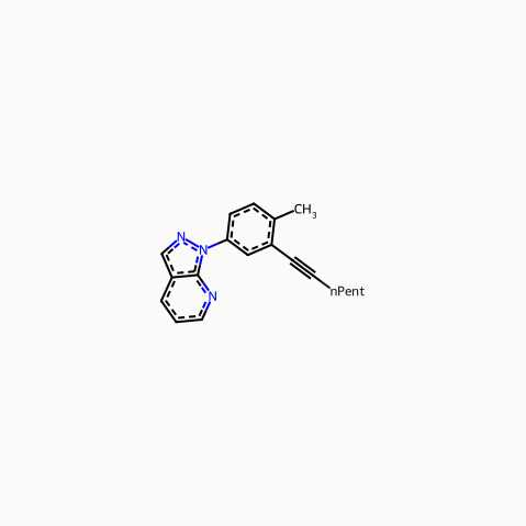 CCCCCC#Cc1cc(-n2ncc3cccnc32)ccc1C